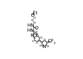 CCOCCCNC(=O)Nc1nc2ccc(-c3cncc(C(F)(F)F)c3)cc2s1